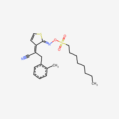 CCCCCCCCS(=O)(=O)ON=C1SC=CC1=C(C#N)Cc1ccccc1C